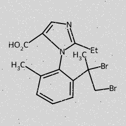 CCc1ncc(C(=O)O)n1-c1c(C)cccc1C(C)(Br)CBr